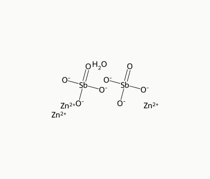 O.[O]=[Sb]([O-])([O-])[O-].[O]=[Sb]([O-])([O-])[O-].[Zn+2].[Zn+2].[Zn+2]